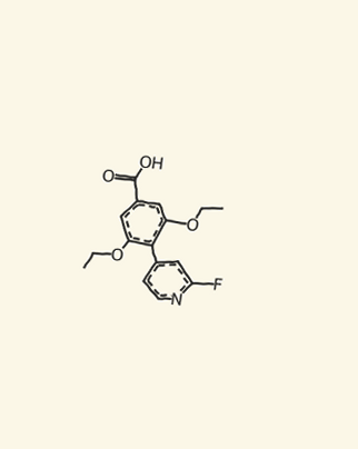 CCOc1cc(C(=O)O)cc(OCC)c1-c1ccnc(F)c1